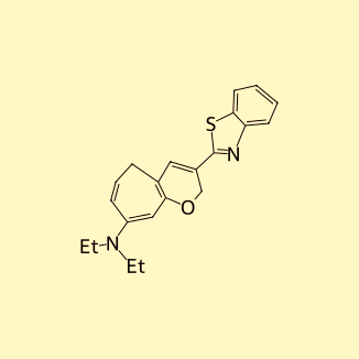 CCN(CC)C1=CC2=C(C=C(c3nc4ccccc4s3)CO2)CC=C1